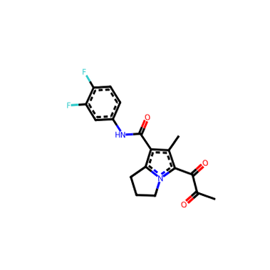 CC(=O)C(=O)c1c(C)c(C(=O)Nc2ccc(F)c(F)c2)c2n1CCC2